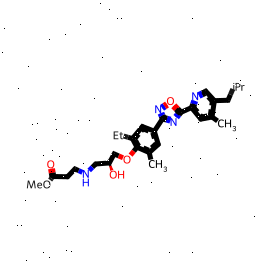 CCc1cc(-c2noc(-c3cc(C)c(CC(C)C)cn3)n2)cc(C)c1OC[C@@H](O)CNCCC(=O)OC